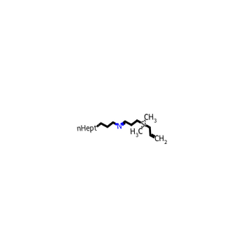 C=CC[Si](C)(C)CCC=NCCCCCCCCCC